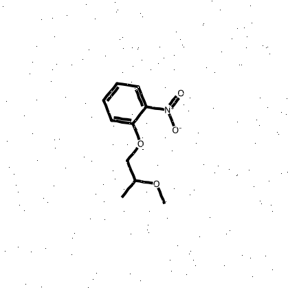 COC(C)COc1ccccc1[N+](=O)[O-]